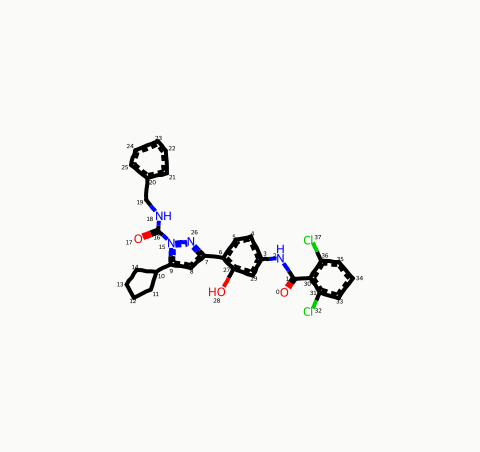 O=C(Nc1ccc(-c2cc(C3CCCC3)n(C(=O)NCc3ccccc3)n2)c(O)c1)c1c(Cl)cccc1Cl